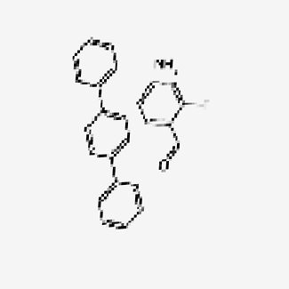 N.O=Cc1ccccc1F.c1ccc(-c2ccc(-c3ccccc3)cc2)cc1